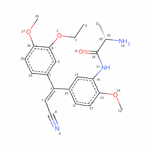 CCOc1cc(C(=CC#N)c2ccc(OC)c(NC(=O)[C@H](C)N)c2)ccc1OC